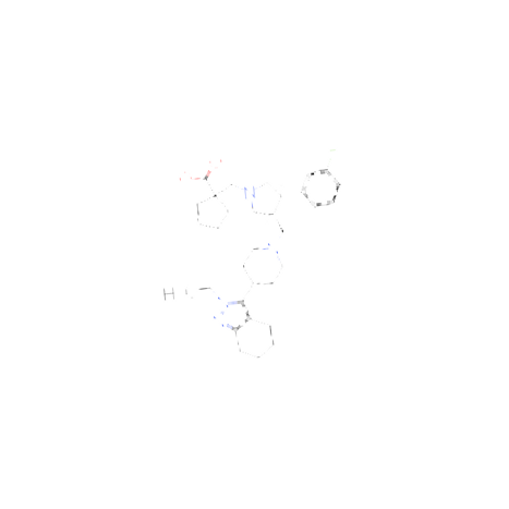 CCn1nc2c(c1C1CCN(C[C@H]3CN(CC4(C(=O)O)CCCC4)C[C@@H]3c3cccc(F)c3)CC1)CCCC2